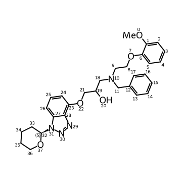 COc1ccccc1OCCN(Cc1ccccc1)CC(O)COc1cccc2c1nnn2[C@@H]1CCCCO1